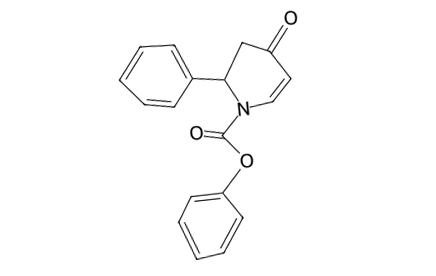 O=C1C=CN(C(=O)Oc2ccccc2)C(c2ccccc2)C1